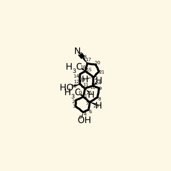 C[C@]12CC[C@@H](O)C[C@H]1CC[C@@H]1[C@@H]2[C@@H](O)C[C@]2(C)[C@@H](C#N)CC[C@@H]12